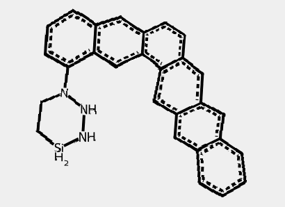 c1ccc2cc3cc4c(ccc5cc6cccc(N7CC[SiH2]NN7)c6cc54)cc3cc2c1